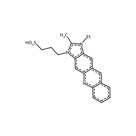 CCn1c(C)[n+](CCCS(=O)(=O)O)c2cc3nc4ccccc4cc3cc21